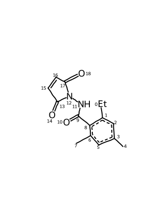 CCc1cc(C)cc(C)c1C(=O)NN1C(=O)C=CC1=O